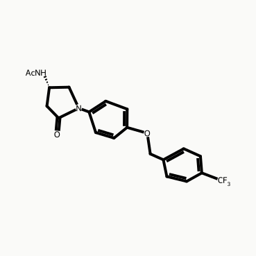 CC(=O)N[C@H]1CC(=O)N(c2ccc(OCc3ccc(C(F)(F)F)cc3)cc2)C1